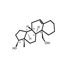 CC(=O)OC[C@]12CCCCC1=CC[C@@H]1[C@@H]2CC[C@]2(C)[C@@H](O)CC[C@@H]12